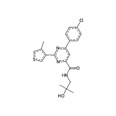 Cc1cscc1-c1nc(C(=O)NCC(C)(C)O)cc(-c2ccc(Cl)cc2)n1